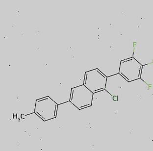 Cc1ccc(-c2ccc3c(Cl)c(-c4cc(F)c(F)c(F)c4)ccc3c2)cc1